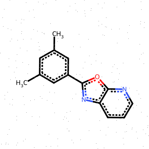 Cc1cc(C)cc(-c2nc3cccnc3o2)c1